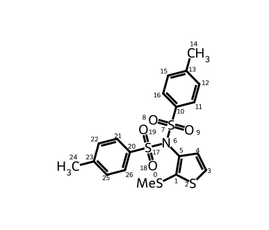 CSc1sccc1N(S(=O)(=O)c1ccc(C)cc1)S(=O)(=O)c1ccc(C)cc1